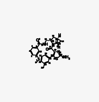 CSc1cccc(C(=O)NC[C@@H]2C[C@H]3C[C@@H]3N2C(=O)c2nc(N)sc2-c2cccc(C)c2)c1